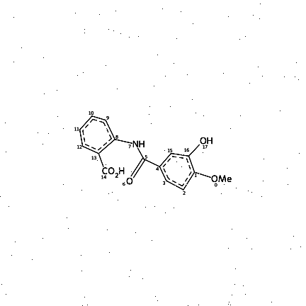 COc1ccc(C(=O)Nc2ccccc2C(=O)O)cc1O